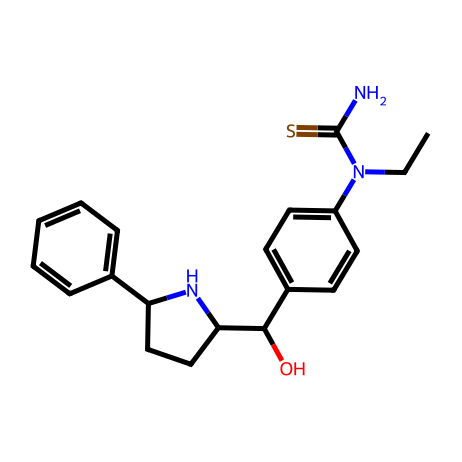 CCN(C(N)=S)c1ccc(C(O)C2CCC(c3ccccc3)N2)cc1